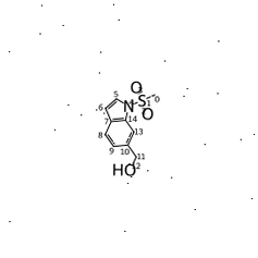 CS(=O)(=O)n1ccc2ccc(CO)cc21